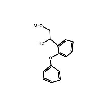 COCC(O)c1ccccc1Oc1ccccc1